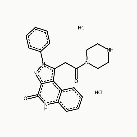 Cl.Cl.O=C(Cc1c2c(nn1-c1ccccc1)c(=O)[nH]c1ccccc12)N1CCNCC1